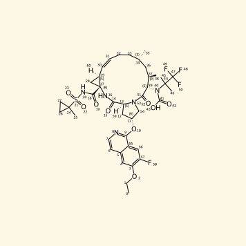 CCOc1cc2ccnc(O[C@@H]3C[C@H]4C(=O)N[C@]5(C(=O)NS(=O)(=O)C6(C)CC6)C[C@H]5C=CCC[C@H](C)C[C@@H](C)[C@H](N(C(=O)O)C(C)(C)C(F)(F)F)C(=O)N4C3)c2cc1F